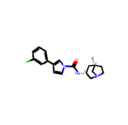 O=C(N[C@@H]1C[C@H]2CCN(C2)C1)n1ccc(-c2cccc(Cl)c2)c1